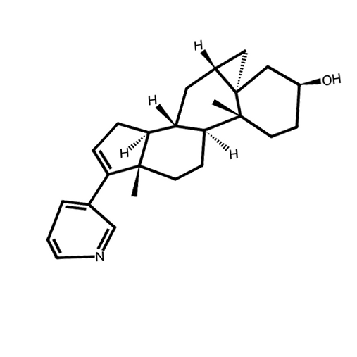 C[C@]12CC[C@H]3[C@@H](C[C@@H]4C[C@@]45C[C@@H](O)CC[C@]35C)[C@@H]1CC=C2c1cccnc1